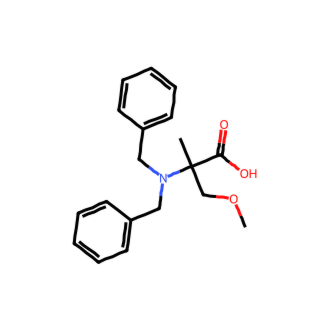 COCC(C)(C(=O)O)N(Cc1ccccc1)Cc1ccccc1